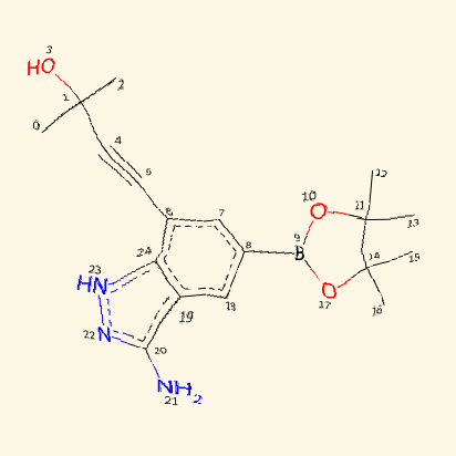 CC(C)(O)C#Cc1cc(B2OC(C)(C)C(C)(C)O2)cc2c(N)n[nH]c12